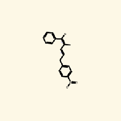 CC(/C=C/Cc1ccc([N+](=O)[O-])cc1)=C(\Br)c1ccccc1